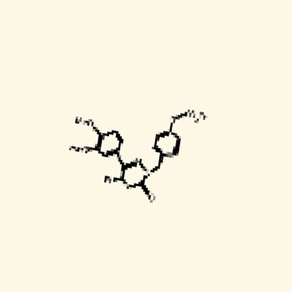 CCOC(=O)Nc1ccc(CN2N=C(c3ccc(OC)c(OC)c3)C(CC)SC2=O)cc1